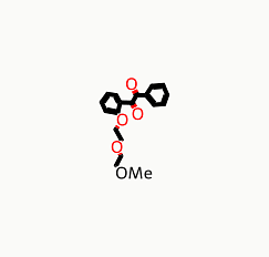 COCCOCCOc1ccccc1C(=O)C(=O)c1ccccc1